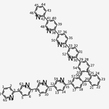 c1ccc(-c2ccc(-c3ccc(-c4ccc(-c5ccc6c7ccccc7c7ccc(-c8ccc(-c9ccc(-c%10ccc(-c%11ccccn%11)cn%10)cn9)cn8)cc7c6c5)nc4)nc3)nc2)nc1